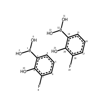 OB(O)c1cccc(F)c1O.OB(O)c1cccc(F)c1O